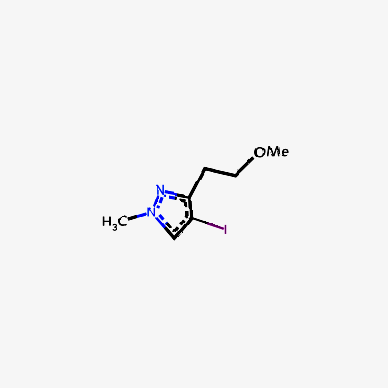 COCCc1nn(C)cc1I